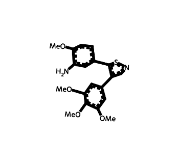 COc1ccc(-c2sncc2-c2cc(OC)c(OC)c(OC)c2)cc1N